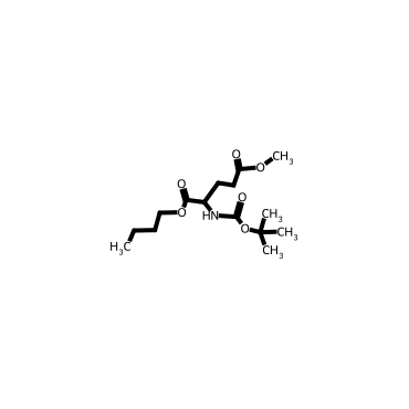 CCCCOC(=O)C(CCC(=O)OC)NC(=O)OC(C)(C)C